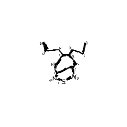 C=CCc1[c]c2nsnc2[c]c1CC=C